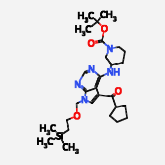 CC(C)(C)OC(=O)N1CCC[C@@H](Nc2ncnc3c2c(C(=O)C2CCCC2)cn3COCC[Si](C)(C)C)C1